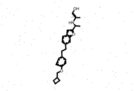 C/C(=C\O)NC(C)c1cc2ccc(CCc3ccc(OCC4CCC4)cc3)cc2o1